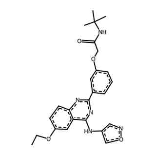 CCOc1ccc2nc(-c3cccc(OCC(=O)NC(C)(C)C)c3)nc(Nc3cnoc3)c2c1